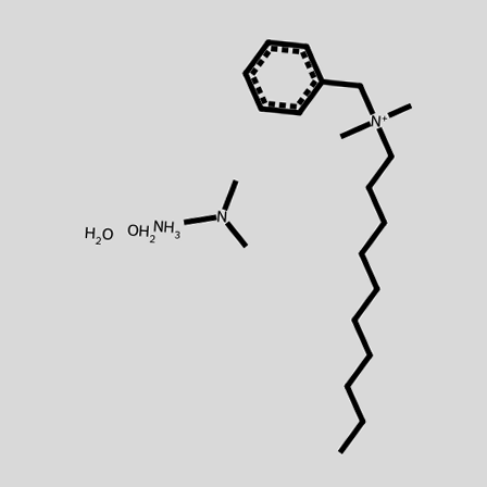 CCCCCCCCCC[N+](C)(C)Cc1ccccc1.CN(C)C.N.O.O